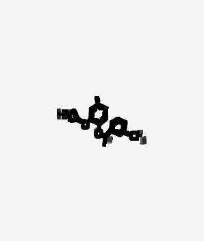 Cc1ccc(O[C@H](C)c2cccc(C(F)(F)F)c2)c(OC2CNC2)c1